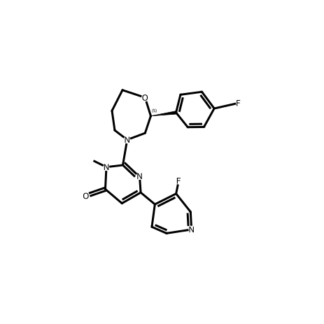 Cn1c(N2CCCO[C@@H](c3ccc(F)cc3)C2)nc(-c2ccncc2F)cc1=O